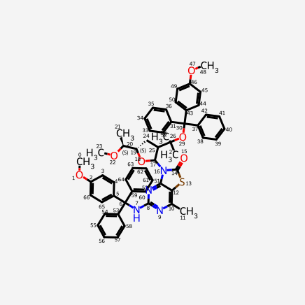 COc1ccc(C(Nc2nc(C)c3sc(=O)n(C4O[C@H]([C@H](C)OC)CC4C(C)(C)OC(c4ccccc4)(c4ccccc4)c4ccc(OC)cc4)c3n2)(c2ccccc2)c2ccccc2)cc1